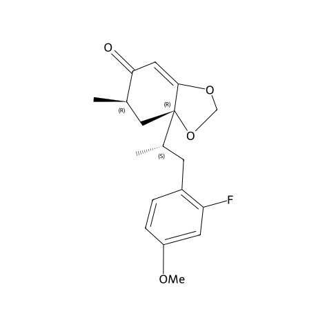 COc1ccc(C[C@H](C)[C@]23C[C@@H](C)C(=O)C=C2OCO3)c(F)c1